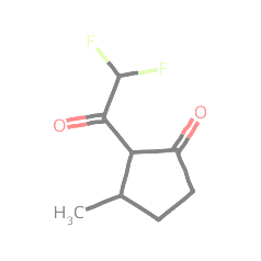 CC1CCC(=O)C1C(=O)C(F)F